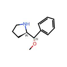 CO[C@@H](c1ccccc1)[C@H]1CCCN1